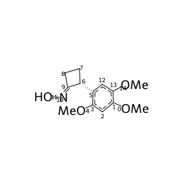 COc1cc(OC)c([C@H]2CCC2=NO)cc1OC